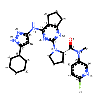 CN(C(=O)[C@@H]1CCCN1c1nc2c(c(Nc3cc(C4CCCCC4)[nH]n3)n1)CCC2)c1ccc(F)nc1